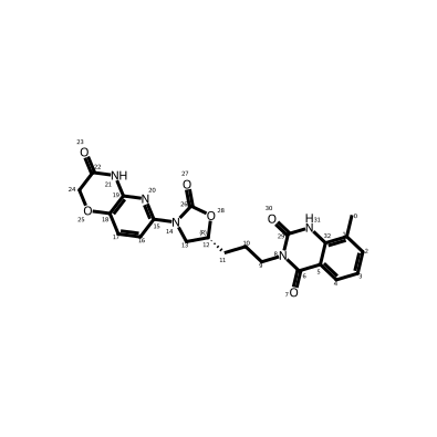 Cc1cccc2c(=O)n(CCC[C@@H]3CN(c4ccc5c(n4)NC(=O)CO5)C(=O)O3)c(=O)[nH]c12